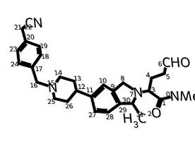 CNC(=O)C(CCC=O)N1Cc2cc(C3CCN(Cc4ccc(CC#N)cc4)CC3)ccc2C1C